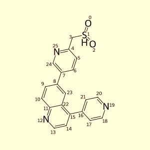 O=[SH](=O)Cc1ccc(-c2ccc3nccc(-c4ccncc4)c3c2)cn1